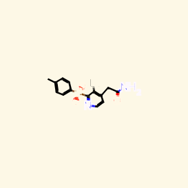 CCc1c([CH]C(N)=O)ccnc1S(=O)(=O)c1ccc(C)cc1